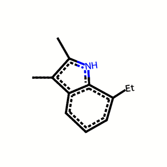 CCc1cccc2c(C)c(C)[nH]c12